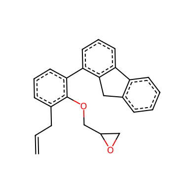 C=CCc1cccc(-c2cccc3c2Cc2ccccc2-3)c1OCC1CO1